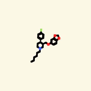 CCCCCCN1CC[C@H](c2ccc(F)cc2)[C@@H](COc2ccc3c(c2)OCO3)C1